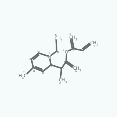 C=CC(=C)OC(=C)C(C)C1C=C(C)C=CN1CC